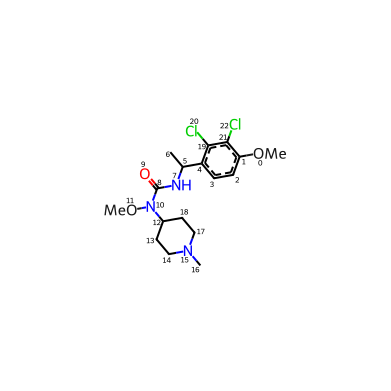 COc1ccc(C(C)NC(=O)N(OC)C2CCN(C)CC2)c(Cl)c1Cl